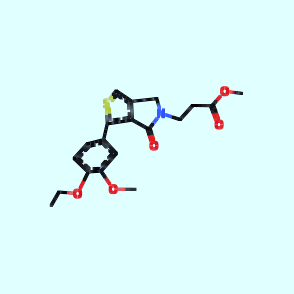 CCOc1ccc(-c2scc3c2C(=O)N(CCC(=O)OC)C3)cc1OC